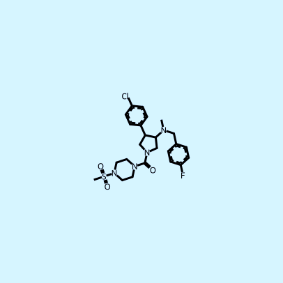 CN(Cc1ccc(F)cc1)C1CN(C(=O)N2CCN(S(C)(=O)=O)CC2)CC1c1ccc(Cl)cc1